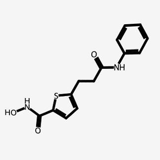 O=C(CCc1ccc(C(=O)NO)s1)Nc1ccccc1